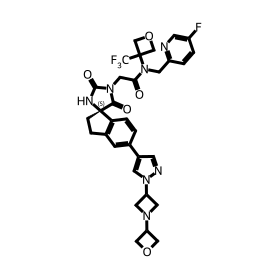 O=C1N[C@]2(CCc3cc(-c4cnn(C5CN(C6COC6)C5)c4)ccc32)C(=O)N1CC(=O)N(Cc1ccc(F)cn1)C1(C(F)(F)F)COC1